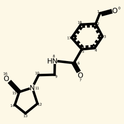 O=Cc1ccc(C(=O)NCCN2CCCC2=O)cc1